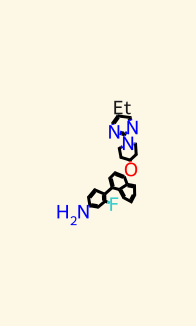 CCc1cnc(N2CCC(Oc3ccc(-c4ccc(N)cc4F)c4ccccc34)CC2)nc1